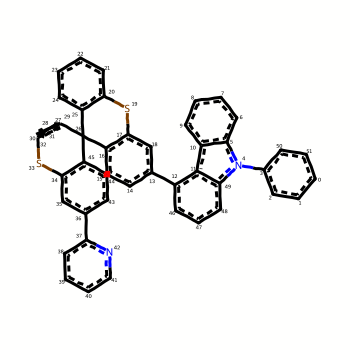 c1ccc(-n2c3ccccc3c3c(-c4ccc5c(c4)Sc4ccccc4C54c5ccccc5Sc5cc(-c6ccccn6)ccc54)cccc32)cc1